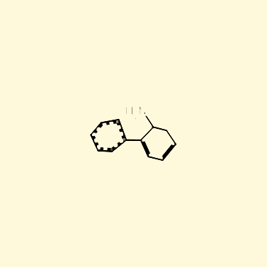 NC1CC=CC=C1c1ccccc1